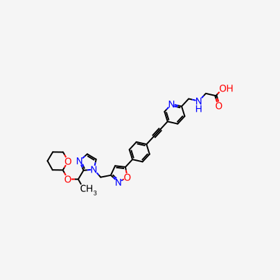 CC(OC1CCCCO1)c1nccn1Cc1cc(-c2ccc(C#Cc3ccc(CNCC(=O)O)nc3)cc2)on1